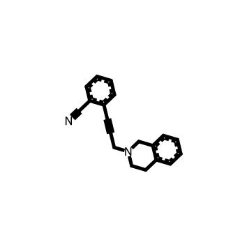 N#Cc1ccccc1C#CCN1CCc2ccccc2C1